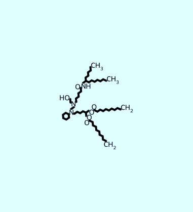 C=CCCCCCCCCC(=O)OCC(CCCCN(CCN(CCO)CCCCCC(=O)NCC(CCCCCC)CCCCCCCC)C1CCCCC1)COC(=O)CCCCCCCCC=C